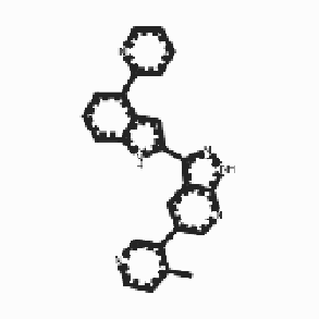 Cc1ccncc1-c1cnc2[nH]nc(-c3cc4c(-c5ccccn5)cccc4[nH]3)c2c1